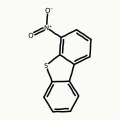 O=[N+]([O-])c1cccc2c1sc1ccccc12